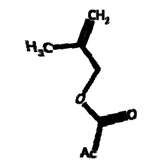 C=C(C)COC(=O)C(C)=O